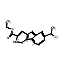 CCOC(=O)C1=Cc2cc3cc(C(C)C)cccc-3c2CN1